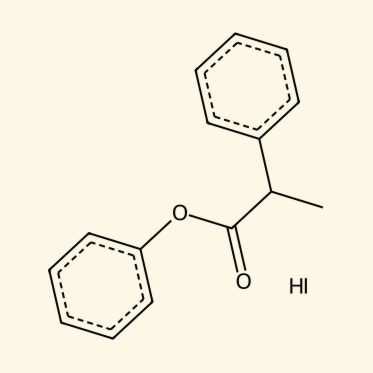 CC(C(=O)Oc1ccccc1)c1ccccc1.I